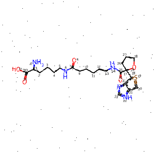 NC(CCCCNC(=O)CCCCCNC(=O)C1(c2scc3[nH]cnc23)CCCO1)C(=O)O